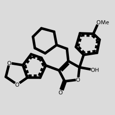 COc1ccc(C2(O)OC(=O)C(c3ccc4c(c3)OCO4)=C2CC2CCCCC2)cc1